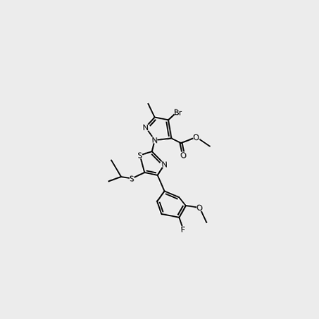 COC(=O)c1c(Br)c(C)nn1-c1nc(-c2ccc(F)c(OC)c2)c(SC(C)C)s1